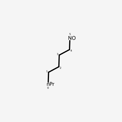 CCCCCCCN=O